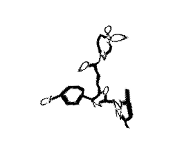 Cc1cc(C)n(-c2nc(-c3ccc(Cl)cc3)c(CCC(=O)N3CCS(=O)(=O)CC3)o2)n1